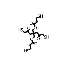 O=C(CS)CC(COC(=O)CCS)(COC(=O)CCS)CC(=O)CS